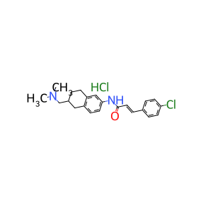 CN(C)CC1CCc2cc(NC(=O)C=Cc3ccc(Cl)cc3)ccc2C1.Cl